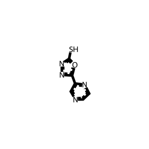 Sc1nnc(-c2cnccn2)o1